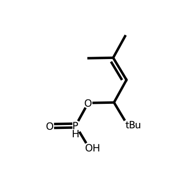 CC(C)=CC(O[PH](=O)O)C(C)(C)C